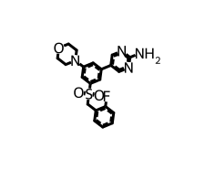 Nc1ncc(-c2cc(N3CCOCC3)cc(S(=O)(=O)Cc3ccccc3F)c2)cn1